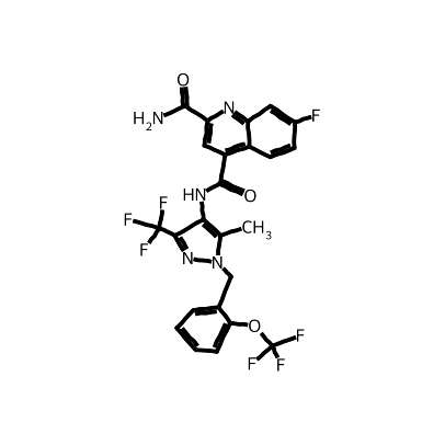 Cc1c(NC(=O)c2cc(C(N)=O)nc3cc(F)ccc23)c(C(F)(F)F)nn1Cc1ccccc1OC(F)(F)F